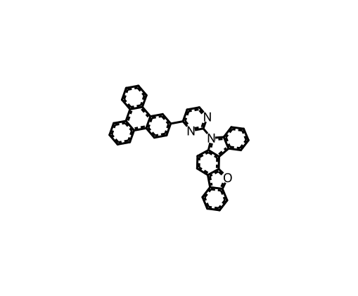 c1ccc2c(c1)oc1c2ccc2c1c1ccccc1n2-c1nccc(-c2ccc3c4ccccc4c4ccccc4c3c2)n1